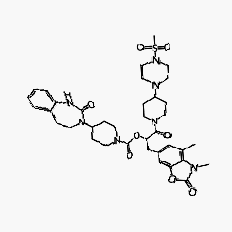 Cc1cc(C[C@@H](OC(=O)N2CCC(N3CCc4ccccc4NC3=O)CC2)C(=O)N2CCC(N3CCN(S(C)(=O)=O)CC3)CC2)cc2oc(=O)n(C)c12